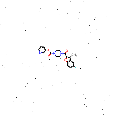 Cc1c(C(=O)N2CCN(C(=O)Oc3cccnc3)CC2)oc2ccc(F)cc12